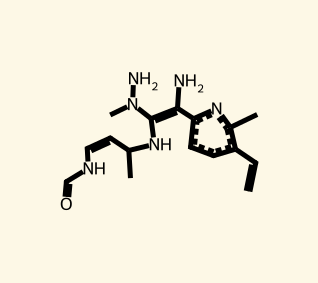 C=Cc1ccc(/C(N)=C(\NC(C)/C=C\NC=O)N(C)N)nc1C